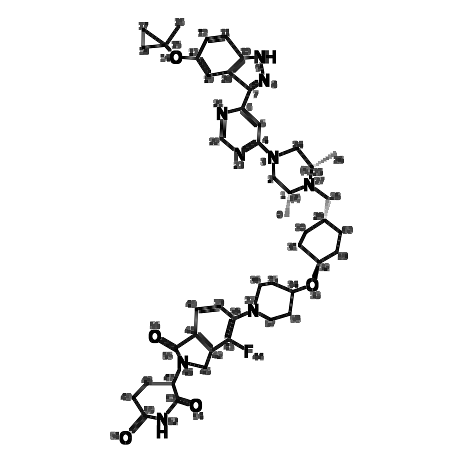 C[C@@H]1CN(c2cc(-c3n[nH]c4ccc(OC5(C)CC5)cc34)ncn2)C[C@H](C)N1C[C@H]1CC[C@H](OC2CCN(c3ccc4c(c3F)CN(C3CCC(=O)NC3=O)C4=O)CC2)CC1